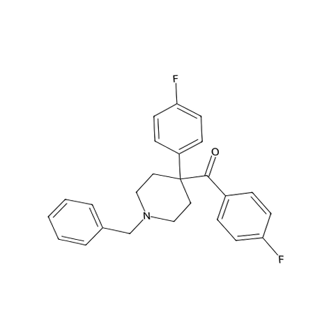 O=C(c1ccc(F)cc1)C1(c2ccc(F)cc2)CCN(Cc2ccccc2)CC1